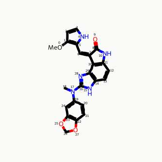 COc1cc[nH]c1C=C1C(=O)Nc2ccc3[nH]c(N(C)c4ccc5c(c4)OCO5)nc3c21